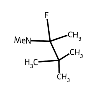 CNC(C)(F)C(C)(C)C